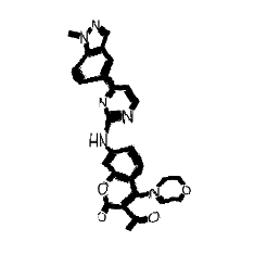 CC(=O)c1c(N2CCOCC2)c2ccc(Nc3nccc(-c4ccc5c(cnn5C)c4)n3)cc2oc1=O